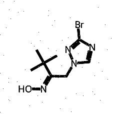 CC(C)(C)/C(Cn1cnc(Br)n1)=N\O